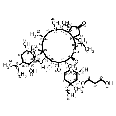 CC[C@H]1OC(=O)[C@H](C)[C@@H](O[C@H]2C[C@@](C)(OC)[C@@H](OCCCO)[C@H](C)O2)[C@H](C)[C@@H](O[C@@H]2O[C@H](C)C[C@H](N(C)C)[C@H]2O)[C@](C)(O)C[C@@H](C)CN(C)[C@H](C)[C@H]2CC(=O)C[C@@]21C